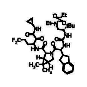 CCN(C[C@@H](NC(=O)N[C@H](C(=O)N1C[C@H]2[C@@H]([C@H]1C(=O)NC(CCC(F)(F)F)C(=O)C(=O)NC1CC1)C2(C)C)C1Cc2ccccc2C1)C(C)(C)C)S(=O)(=O)CC